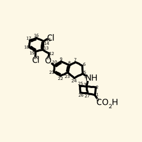 O=C(O)C1CC2(NC3CCc4cc(OCc5c(Cl)cccc5Cl)ccc4C3)CCC12